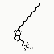 CCCCCCCCCCCC1OC2COC(COS(=O)(=O)O)C2O1